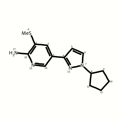 CSc1cc(-c2ccn(C3CCCC3)n2)cnc1N